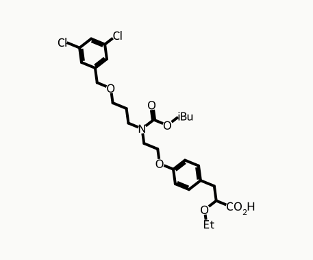 CCOC(Cc1ccc(OCCN(CCCOCc2cc(Cl)cc(Cl)c2)C(=O)OC(C)CC)cc1)C(=O)O